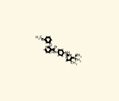 COc1cccc(Oc2ncccc2C(=O)N[C@H]2CC[C@@H](Nc3ncc(C)c(N(C)C)n3)CC2)c1